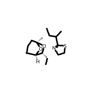 CCC(C)C1=NCCS1.CC[C@H]1O[C@]2(C)CCC[C@H]1O2